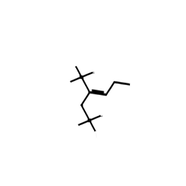 [CH2]C/C=C(/CC(F)(F)F)C(F)(F)F